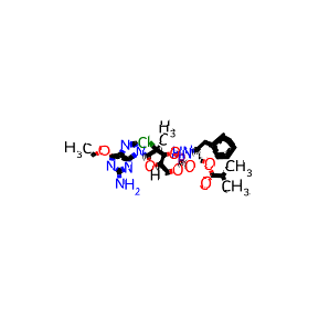 CCOc1nc(N)nc2c1ncn2[C@@H]1O[C@@H]2CO[P@](=O)(N[C@@H](COC(=O)C(C)C)Cc3ccccc3)OC2[C@@]1(C)Cl